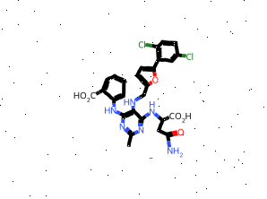 Cc1nc(Nc2ccccc2C(=O)O)c(NCc2ccc(-c3cc(Cl)ccc3Cl)o2)c(NC(CC(N)=O)C(=O)O)n1